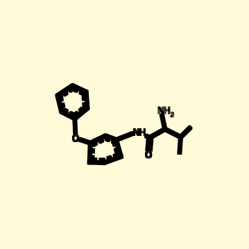 CC(C)C(N)C(=O)Nc1cccc(Oc2ccccc2)c1